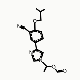 CC(C)COc1ccc(-c2cn(C(C)OC=O)cn2)cc1C#N